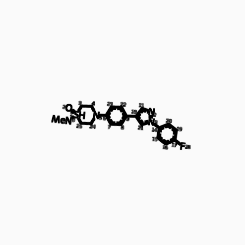 CN[SH]1(=O)CCN(c2ccc(-c3cnn(-c4ccc(F)cc4)c3)cc2)CC1